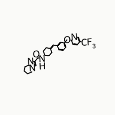 O=C(NC1CCC(=Cc2cccc(Oc3ccc(C(F)(F)F)cn3)c2)CC1)c1cn2c(n1)CCCC2